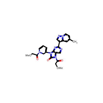 COCC(=O)N1C=CC=C(n2c(=O)n(C(=O)COC)c3cnc(-c4cnn5ccc(C)cc45)nc32)C1